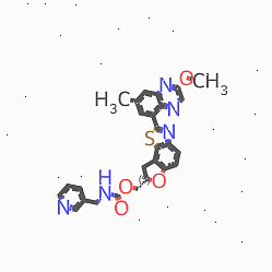 COc1cnc2c(-c3nc4ccc5c(c4s3)C[C@@H](COC(=O)NCc3cccnc3)O5)cc(C)cc2n1